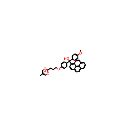 COc1ccc(C(O)(c2ccc(OCCCC34OCC(C)(CO3)CO4)cc2)c2ccc3ccc4cccc5ccc2c3c45)cc1